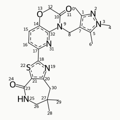 Cc1nn(C)c(C)c1CN1C(=O)COc2ccc(-c3nc4c(s3)C(=O)NCC(C)(C)C4)nc21